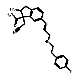 N#CCC1(C(N)=O)c2cc(N=CCNCCc3ccc(F)cc3)ccc2CC1O